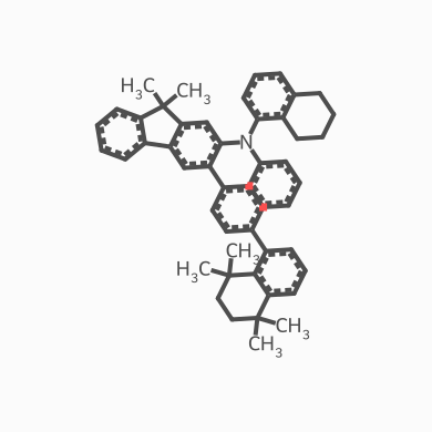 CC1(C)CCC(C)(C)c2c(-c3ccc(-c4cc5c(cc4N(c4ccccc4)c4cccc6c4CCCC6)C(C)(C)c4ccccc4-5)cc3)cccc21